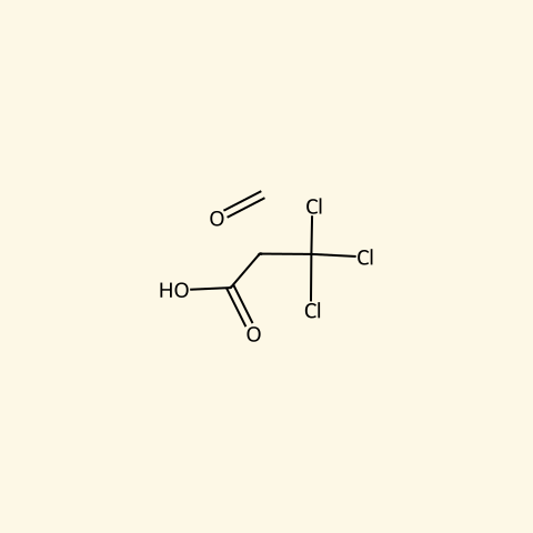 C=O.O=C(O)CC(Cl)(Cl)Cl